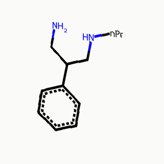 CCCNCC(CN)c1ccccc1